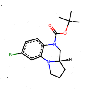 CC(C)(C)OC(=O)N1C[C@@H]2CCCN2c2cc(Br)ccc21